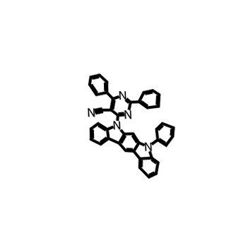 N#Cc1c(-c2ccccc2)nc(-c2ccccc2)nc1-n1c2ccccc2c2cc3c4ccccc4n(-c4ccccc4)c3cc21